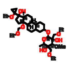 CCOCO[C@@]12CCC(O)(C3(OCC)CC3)[C@@]1(C)CC[C@@H]1[C@H]2CCC2CC(O[C@@H]3O[C@H](C)[C@](O)(COCC)[C@H](OC)[C@]3(O)COCC)CC[C@@]21C